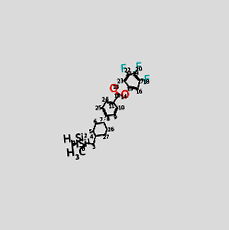 C[SiH]([SiH3])C[C@H]1CC[C@H](c2ccc(C(=O)Oc3cc(F)c(F)c(F)c3)cc2)CC1